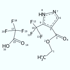 CCOC(=O)c1cn[nH]c1C(F)(F)F.O=C(O)C(F)(F)F